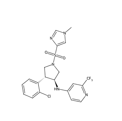 Cn1cnc(S(=O)(=O)N2C[C@@H](Nc3ccnc(C(F)(F)F)c3)[C@H](c3ccccc3Cl)C2)c1